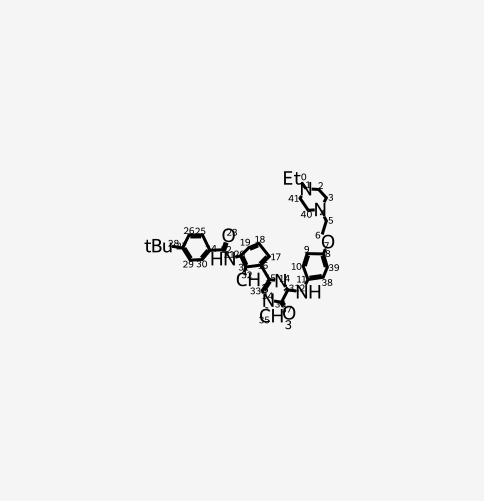 CCN1CCN(CCOc2ccc(Nc3nc(-c4cccc(NC(=O)c5ccc(C(C)(C)C)cc5)c4C)cn(C)c3=O)cc2)CC1